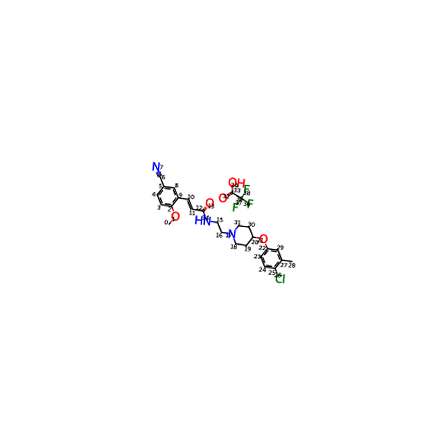 COc1ccc(C#N)cc1/C=C/C(=O)NCCN1CCC(Oc2ccc(Cl)c(C)c2)CC1.O=C(O)C(F)(F)F